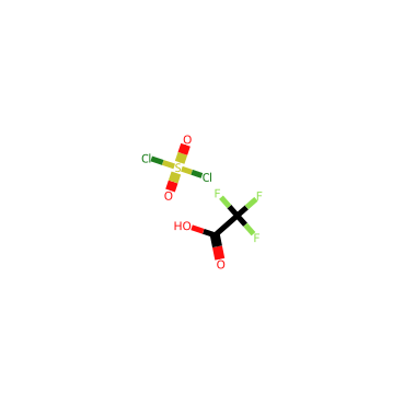 O=C(O)C(F)(F)F.O=S(=O)(Cl)Cl